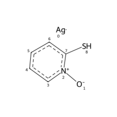 [Ag].[O-][n+]1ccccc1S